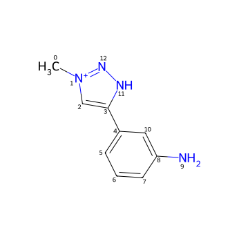 C[n+]1cc(-c2cccc(N)c2)[nH]n1